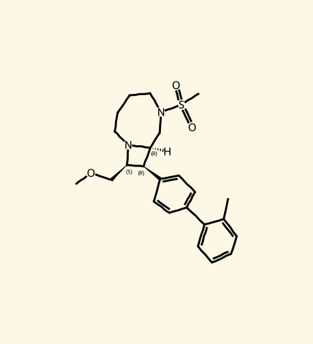 COC[C@@H]1[C@H](c2ccc(-c3ccccc3C)cc2)[C@@H]2CN(S(C)(=O)=O)CCCCN12